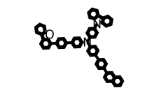 c1ccc2cc(-c3ccc(-c4ccc(N(c5ccc(-c6ccc(-c7cccc8c7oc7ccccc78)cc6)cc5)c5ccc(-n6c7ccccc7c7ccccc76)cc5)cc4)cc3)ccc2c1